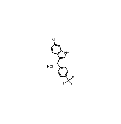 Cl.FC(F)(F)c1ccc([CH]c2c[nH]c3cc(Cl)ccc23)cc1